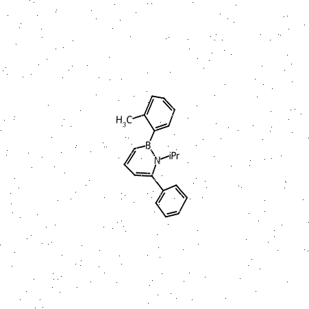 Cc1ccccc1B1C=CC=C(c2ccccc2)N1C(C)C